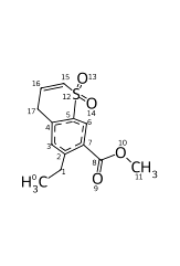 CCc1cc2c(cc1C(=O)OC)S(=O)(=O)C=CC2